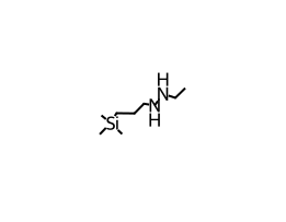 CCNNCCC[Si](C)(C)C